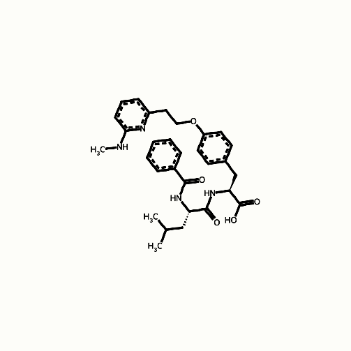 CNc1cccc(CCOc2ccc(C[C@H](NC(=O)[C@H](CC(C)C)NC(=O)c3ccccc3)C(=O)O)cc2)n1